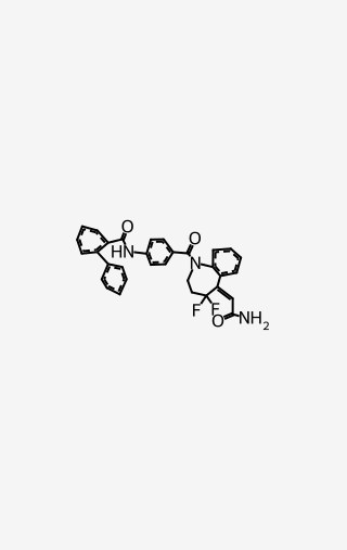 NC(=O)C=C1c2ccccc2N(C(=O)c2ccc(NC(=O)c3ccccc3-c3ccccc3)cc2)CCC1(F)F